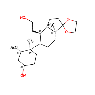 CC(=O)O[C@H]1C[C@@H](O)CC[C@]1(C)C1CC[C@@]2(C)C(CCC23OCCO3)[C@@H]1CCO